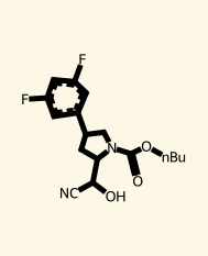 CCCCOC(=O)N1CC(c2cc(F)cc(F)c2)CC1C(O)C#N